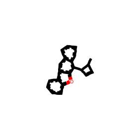 CC1C=CC1c1c2ccccc2cc2c1oc1ccccc12